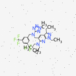 CCc1nn(CC)c2nc(N(CC(C)C)CC3CC3)c(CN(Cc3cc(C(F)(F)F)cc(C(F)(F)F)c3)c3nnn(C)n3)cc12